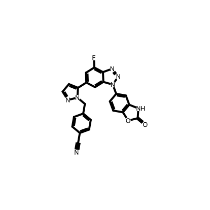 N#Cc1ccc(Cn2nccc2-c2cc(F)c3nnn(-c4ccc5oc(=O)[nH]c5c4)c3c2)cc1